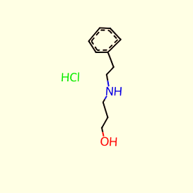 Cl.OCCCNCCc1ccccc1